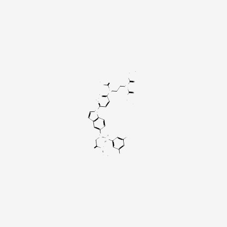 CC(C)(C)OC(=O)CN(c1ccc2c(ccn2-c2ccc(N(CCN(C(=O)OC(C)(C)C)C(=O)OC(C)(C)C)C(=O)OC(C)(C)C)nn2)c1)S(=O)(=O)c1cc(Cl)cc(Cl)c1